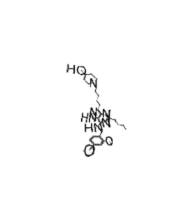 CCCCc1nc(NCc2ccc(OC)cc2OC)c2[nH]nc(CCCCCN3CCC(O)CC3)c2n1